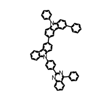 c1ccc(-c2ccc3c(c2)c2cc(-c4ccc5c(c4)c4ccccc4n5-c4ccc(-c5nc(-c6ccccc6)c6ccccc6n5)cc4)ccc2n3-c2ccccc2)cc1